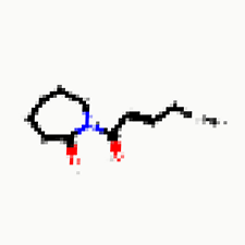 CCCCCCCCC=CC(=O)N1CCCCCC1=O